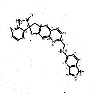 O=C1Nc2ncccc2C12Cc1cc3ccc(CNc4ccc5[nH]ncc5c4)nc3cc1C2